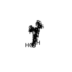 COCC1(CN(C)c2cc(-c3cc(F)cc(C(F)(F)F)c3)nc3nc(-c4cnc(N5CCC(NCC(=O)O)CC5)cn4)[nH]c23)CCC1